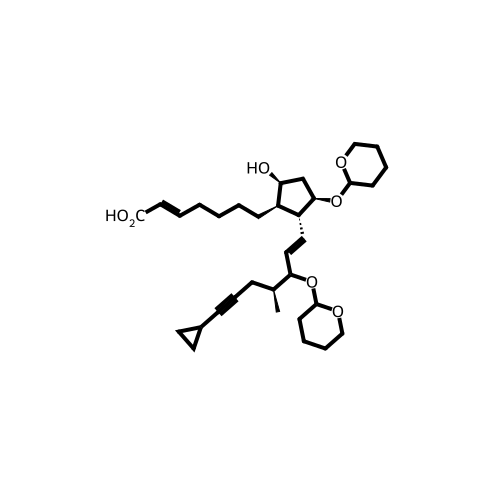 C[C@@H](CC#CC1CC1)C(/C=C/[C@@H]1[C@@H](CCCC/C=C/C(=O)O)[C@@H](O)C[C@H]1OC1CCCCO1)OC1CCCCO1